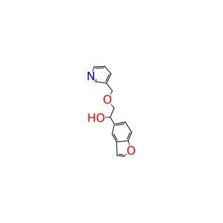 OC(COCc1cccnc1)c1ccc2occc2c1